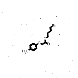 CCC=CCCOC(=O)COc1ccc(C)cc1